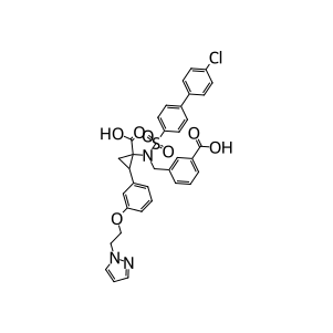 O=C(O)c1cccc(CN(C2(C(=O)O)CC2c2cccc(OCCn3cccn3)c2)S(=O)(=O)c2ccc(-c3ccc(Cl)cc3)cc2)c1